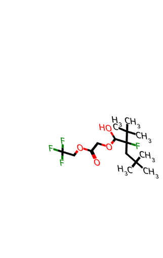 CC(C)(C)CC(F)(C(O)OCC(=O)OCC(F)(F)F)C(C)(C)C